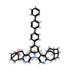 c1ccc(-c2ccc(-c3ccc(-c4cc5c6c7c(ncc6n6c8cnc9c(c8c(c4)c56)C4CC5CC6CC9CC65C4)C4CC5CC(C4)CC7C5)cc3)cc2)cc1